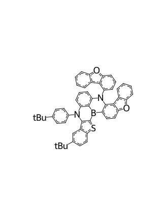 CC(C)(C)c1ccc(N2c3cccc4c3B(c3ccc5oc6ccccc6c5c3N4c3cccc4oc5ccccc5c34)c3sc4ccc(C(C)(C)C)cc4c32)cc1